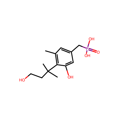 Cc1cc(CP(=O)(O)O)cc(O)c1C(C)(C)CCO